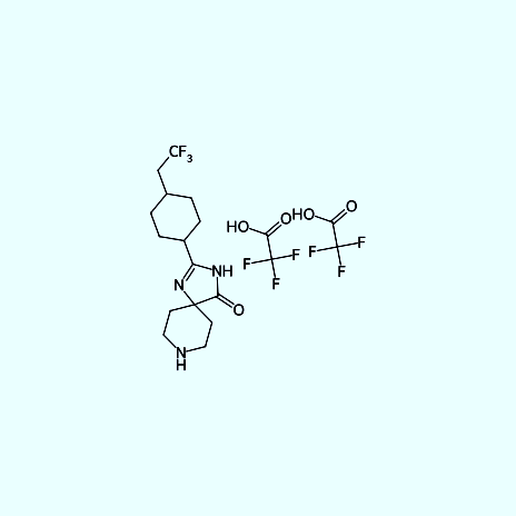 O=C(O)C(F)(F)F.O=C(O)C(F)(F)F.O=C1NC(C2CCC(CC(F)(F)F)CC2)=NC12CCNCC2